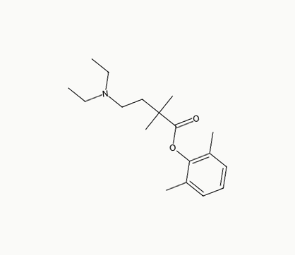 CCN(CC)CCC(C)(C)C(=O)Oc1c(C)cccc1C